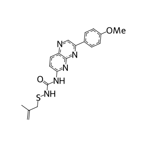 C=C(C)CSNC(=O)Nc1ccc2ncc(-c3ccc(OC)cc3)nc2n1